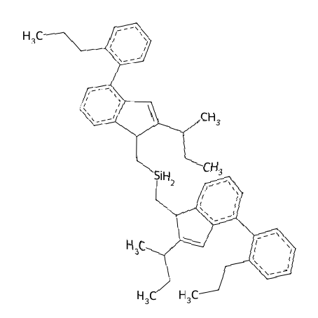 CCCc1ccccc1-c1cccc2c1C=C(C(C)CC)C2C[SiH2]CC1C(C(C)CC)=Cc2c(-c3ccccc3CCC)cccc21